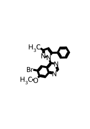 COc1cc2ncnc(-n3nc(C)cc3-c3ccccc3)c2cc1Br